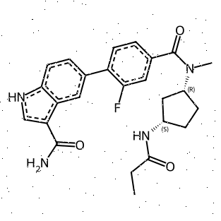 CCC(=O)N[C@H]1CC[C@@H](N(C)C(=O)c2ccc(-c3ccc4[nH]cc(C(N)=O)c4c3)c(F)c2)C1